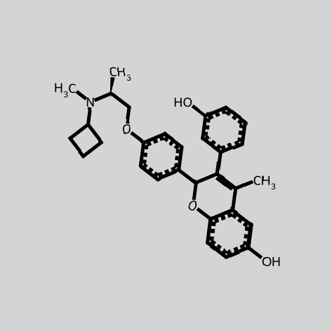 CC1=C(c2cccc(O)c2)C(c2ccc(OC[C@H](C)N(C)C3CCC3)cc2)Oc2ccc(O)cc21